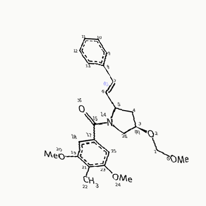 COCO[C@@H]1CC(/C=C/c2ccccc2)N(C(=O)c2cc(OC)c(C)c(OC)c2)C1